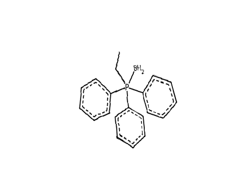 BP(CC)(c1ccccc1)(c1ccccc1)c1ccccc1